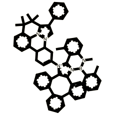 Cc1cccc(C)c1B1N(C)c2cccc(C)c2-c2n1c1c([n+]2C2=CCC3c4cccc5c4-n4c(c(-c6ccccc6)c[n+]4C3C2)C(C)(C)C5(C)C)-c2ccccc2-c2ccccc2-c2ccccc2-1